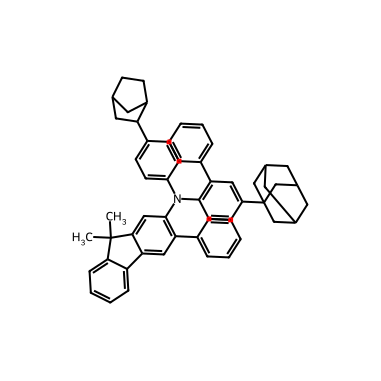 CC1(C)c2ccccc2-c2cc(-c3ccccc3)c(N(c3ccc(C4CC5CCC4C5)cc3)c3ccc(C45CC6CC(CC(C6)C4)C5)cc3-c3ccccc3)cc21